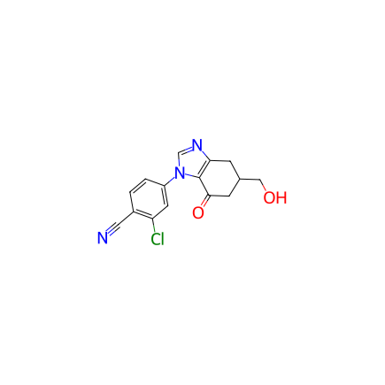 N#Cc1ccc(-n2cnc3c2C(=O)CC(CO)C3)cc1Cl